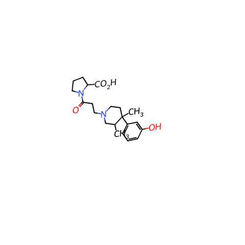 CC1CN(CCC(=O)N2CCCC2C(=O)O)CCC1(C)c1cccc(O)c1